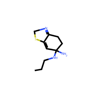 CCCNC1(N)C=C2SCN=C2CC1